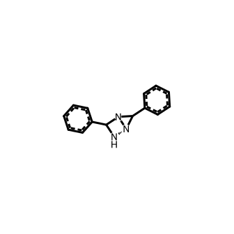 c1ccc(C2N[N@@]3C(c4ccccc4)N23)cc1